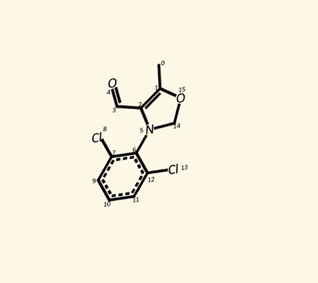 CC1=C(C=O)N(c2c(Cl)cccc2Cl)CO1